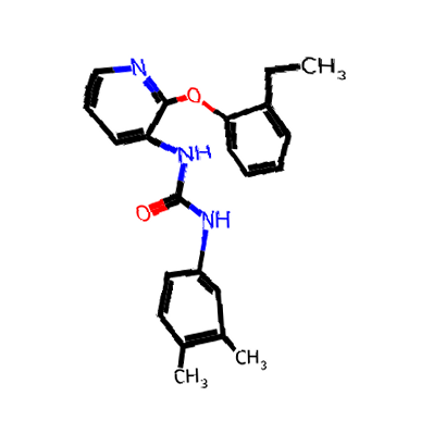 CCc1ccccc1Oc1ncccc1NC(=O)Nc1ccc(C)c(C)c1